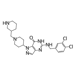 O=c1[nH]c(NCc2ccc(Cl)c(Cl)c2)nc2cnn(C3CCN(CC4CCCNC4)CC3)c12